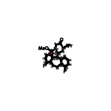 COC(N)N1CC(=O)N(C(C)C)CC1C1c2cccc(F)c2CCc2c(F)cccc21